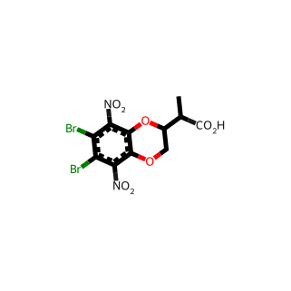 CC(C(=O)O)C1COc2c(c([N+](=O)[O-])c(Br)c(Br)c2[N+](=O)[O-])O1